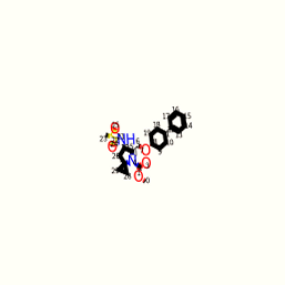 COC(=O)N1[C@@H](CO[C@H]2CC[C@@H](c3ccccc3)CC2)[C@@H](NS(C)(=O)=O)CC12CC2